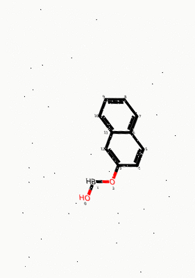 OBOc1ccc2ccccc2c1